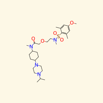 COc1cc(C)c(S(=O)(=O)N(C)CCOCC(=O)N(C)C2CCC(N3CCN(C(C)C)CC3)CC2)c(C)c1